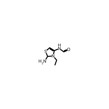 CCN1C(NC=O)=CSC1N